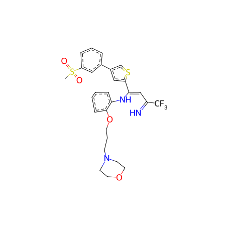 CS(=O)(=O)c1cccc(-c2csc(/C(=C/C(=N)C(F)(F)F)Nc3ccccc3OCCCN3CCOCC3)c2)c1